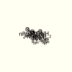 CCCC1(N(NC2CC2)C(=O)C2CC3CCCCC3N2C(=O)C(NC(=O)[CH]C2CCCCC2)C(C)(C)C(N)=O)C(=O)C1=O